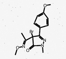 CON=C(C)C1(Br)C(=O)N(C)N=C1c1ccc(OC)cc1